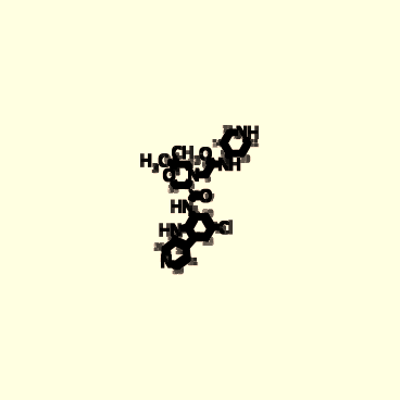 CC1(C)CN(CC(=O)NC2CCNCC2)[C@H](C(=O)Nc2cc(Cl)cc3c2[nH]c2cnccc23)CO1